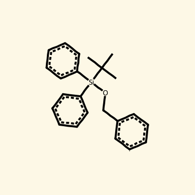 CC(C)(C)[Si](OCc1c[c]ccc1)(c1ccccc1)c1ccccc1